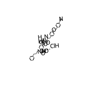 Cl.N#Cc1ccc(COc2ccc(C[C@H](N)C(=O)NS(=O)(=O)c3ccc(NCCCc4ccccc4)c([N+](=O)[O-])c3)cc2)cc1